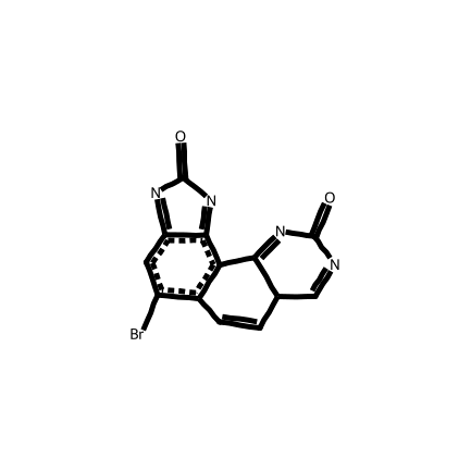 O=C1N=CC2C=Cc3c(Br)cc4c(c3C2=N1)=NC(=O)N=4